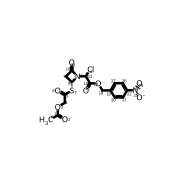 CC(=O)OCC(=O)S[C@@H]1CC(=O)N1C(Cl)C(=O)OCc1ccc([N+](=O)[O-])cc1